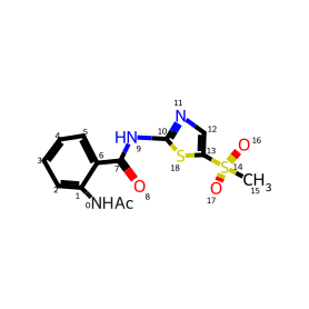 CC(=O)Nc1ccccc1C(=O)Nc1ncc(S(C)(=O)=O)s1